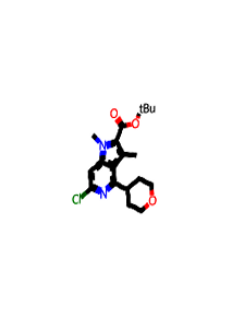 Cc1c(C(=O)OC(C)(C)C)n(C)c2cc(Cl)nc(C3CCOCC3)c12